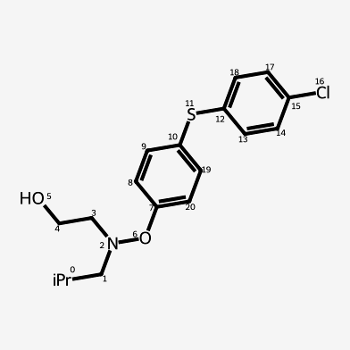 CC(C)CN(CCO)Oc1ccc(Sc2ccc(Cl)cc2)cc1